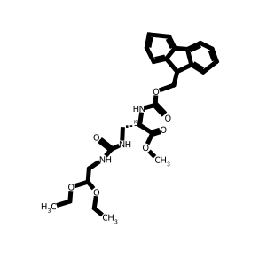 CCOC(CNC(=O)NC[C@H](NC(=O)OCC1c2ccccc2-c2ccccc21)C(=O)OC)OCC